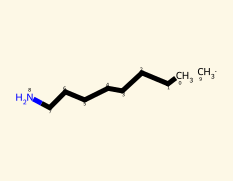 CCCCCCCCN.[CH3]